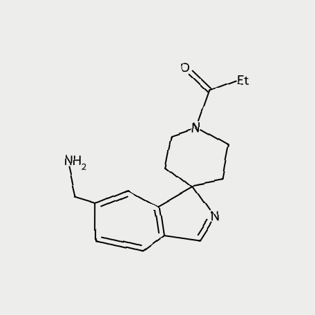 CCC(=O)N1CCC2(CC1)N=Cc1ccc(CN)cc12